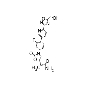 C[C@H](C(N)=O)C1CN(c2ccc(-c3ccc(-c4noc(CO)n4)nc3)c(F)c2)C(=O)O1